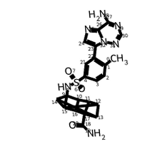 Cc1ccc(S(=O)(=O)NC23C4C5C6C7C2C63C4C57C(N)=O)cc1-c1cnc2c(N)ncnn12